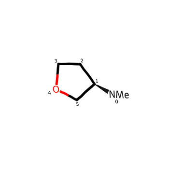 CN[C@@H]1CCOC1